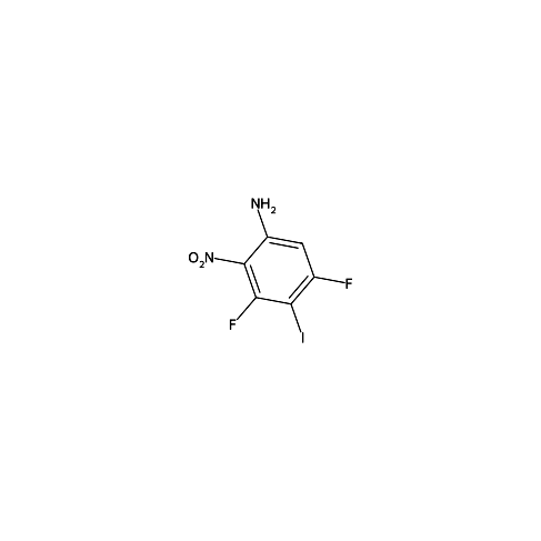 Nc1cc(F)c(I)c(F)c1[N+](=O)[O-]